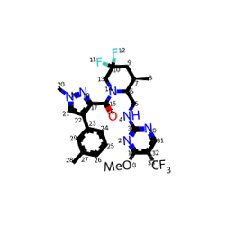 COc1nc(NCC2[C@H](C)CC(F)(F)CN2C(=O)c2nn(C)cc2-c2cccc(C)c2)ncc1C(F)(F)F